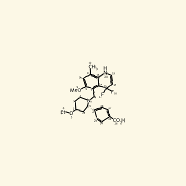 CCO[C@H]1CCN(Cc2c(OC)cc(C)c3c2C(F)(F)C=CN3)[C@H](c2ccc(C(=O)O)cc2)C1